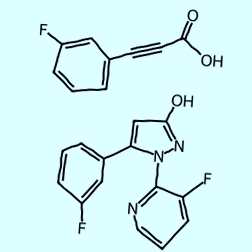 O=C(O)C#Cc1cccc(F)c1.Oc1cc(-c2cccc(F)c2)n(-c2ncccc2F)n1